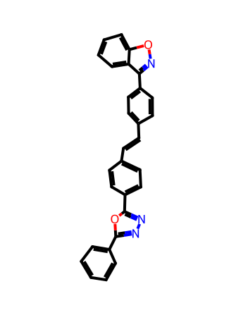 C(=Cc1ccc(-c2noc3ccccc23)cc1)c1ccc(-c2nnc(-c3ccccc3)o2)cc1